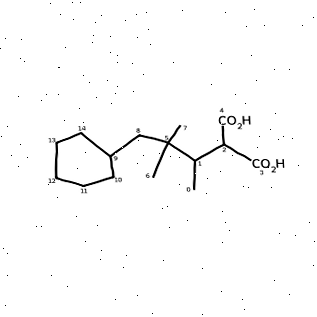 CC(C(C(=O)O)C(=O)O)C(C)(C)CC1CCCCC1